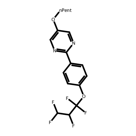 CCCCCOc1cnc(-c2ccc(OC(F)(F)C(F)C(F)F)cc2)nc1